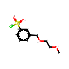 COCCOCc1cccc(S(=O)(=O)Cl)c1